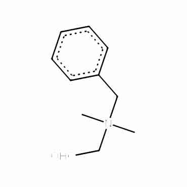 C[N+](C)(CC=O)Cc1ccccc1